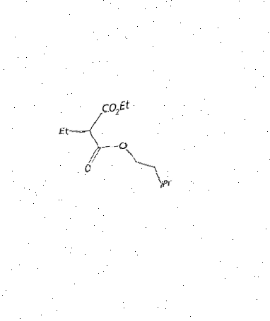 CCOC(=O)C(CC)C(=O)OCCC(C)C